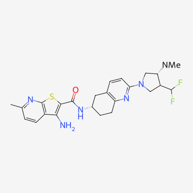 CN[C@H]1CN(c2ccc3c(n2)CC[C@H](NC(=O)c2sc4nc(C)ccc4c2N)C3)CC1C(F)F